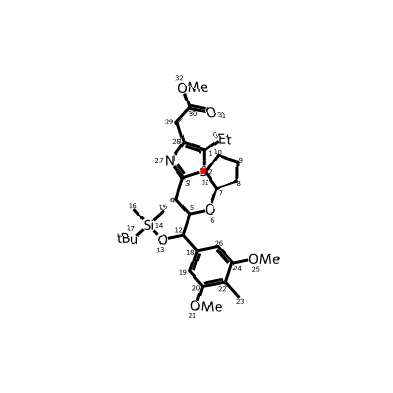 CCc1sc(CC(OC2CCCC2)C(O[Si](C)(C)C(C)(C)C)c2cc(OC)c(C)c(OC)c2)nc1CC(=O)OC